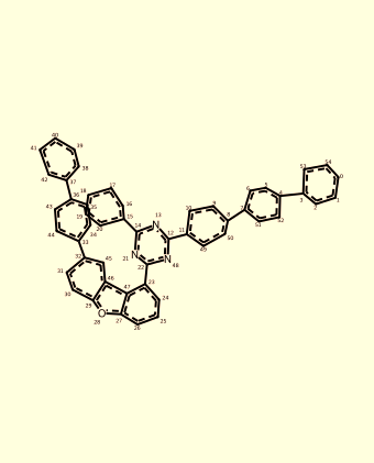 c1ccc(-c2ccc(-c3ccc(-c4nc(-c5ccccc5)nc(-c5cccc6oc7ccc(-c8ccc(-c9ccccc9)cc8)cc7c56)n4)cc3)cc2)cc1